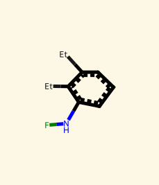 CCc1cccc(NF)c1CC